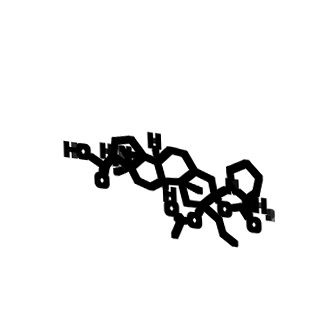 CCCC1(OC(C)=O)C[C@@]2(C)C(CC[C@@H]3[C@@H]2CC[C@]2(C)C(C(=O)O)CCC32N)CC1(OC(N)=O)N1CCCCC1